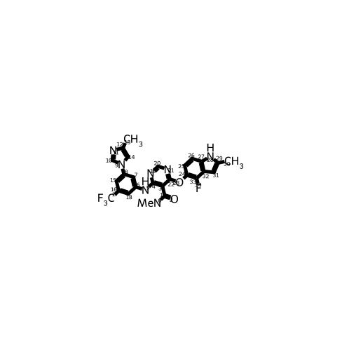 CNC(=O)c1c(Nc2cc(-n3cnc(C)c3)cc(C(F)(F)F)c2)ncnc1Oc1ccc2[nH]c(C)cc2c1F